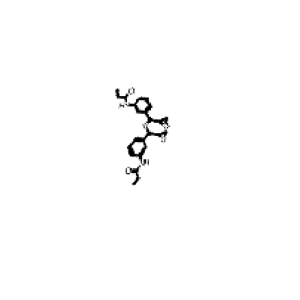 C=CC(=O)Nc1cccc(C(OC(c2cccc(NC(=O)C=C)c2)C2CO2)C2CO2)c1